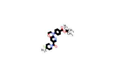 CC1(F)CCN(C(=O)c2cnc3c(c2)OCCN3c2ccc(C(=O)OC(C)(C)C)cc2)CC1